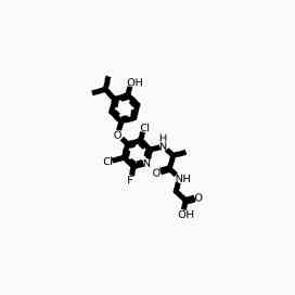 CC(Nc1nc(F)c(Cl)c(Oc2ccc(O)c(C(C)C)c2)c1Cl)C(=O)NCC(=O)O